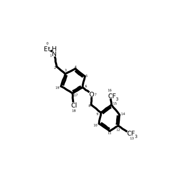 CCNCc1ccc(OCc2ccc(C(F)(F)F)cc2C(F)(F)F)c(Cl)c1